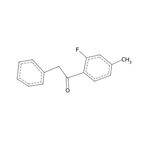 Cc1ccc(C(=O)Cc2ccccc2)c(F)c1